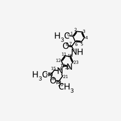 Cc1ccccc1C(=O)Nc1ccc(N2C[C@@H](C)O[C@@H](C)C2)nc1